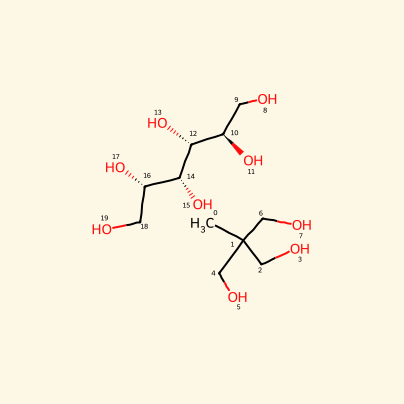 CC(CO)(CO)CO.OC[C@@H](O)[C@@H](O)[C@H](O)[C@@H](O)CO